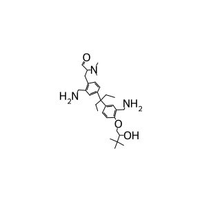 CCC(CC)(c1ccc(CC(C=O)N(C)C)c(CN)c1)c1ccc(OCC(O)C(C)(C)C)c(CN)c1